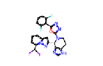 Fc1cccc(F)c1-c1nnc(N2CCc3[nH]cnc3[C@@H]2c2cc3cccc(C(I)I)n3n2)o1